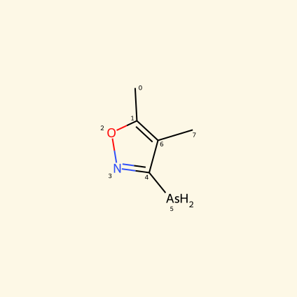 Cc1onc([AsH2])c1C